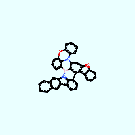 c1ccc2c(c1)Oc1cccc3c1N2c1cc2oc4ccccc4c2c2c1B3n1c3cc4ccccc4cc3c3cccc-2c31